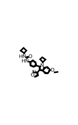 CCOc1ccc2c(-c3ccon3)c(-c3ccc(NC(=O)NC4CCC4)cc3)n(C3CCC3)c2c1